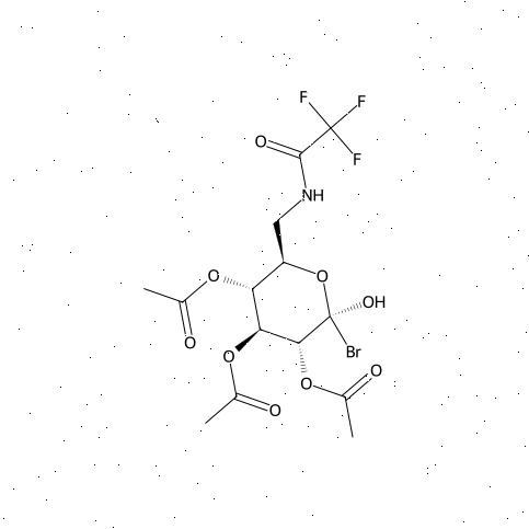 CC(=O)O[C@H]1[C@H](OC(C)=O)[C@@H](CNC(=O)C(F)(F)F)O[C@@](O)(Br)[C@@H]1OC(C)=O